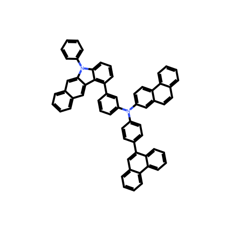 c1ccc(-n2c3cc4ccccc4cc3c3c(-c4cccc(N(c5ccc(-c6cc7ccccc7c7ccccc67)cc5)c5ccc6c(ccc7ccccc76)c5)c4)cccc32)cc1